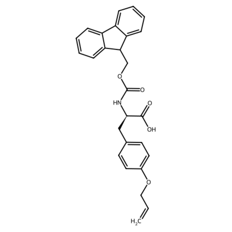 C=CCOc1ccc(C[C@@H](NC(=O)OCC2c3ccccc3-c3ccccc32)C(=O)O)cc1